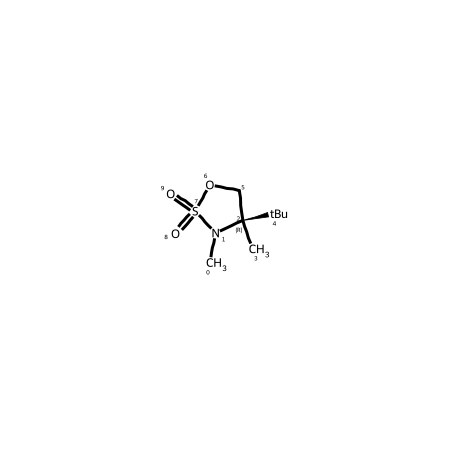 CN1[C@](C)(C(C)(C)C)COS1(=O)=O